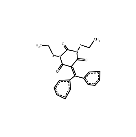 CCSN1C(=O)C(=C(c2ccccc2)c2ccccc2)C(=O)N(SCC)C1=O